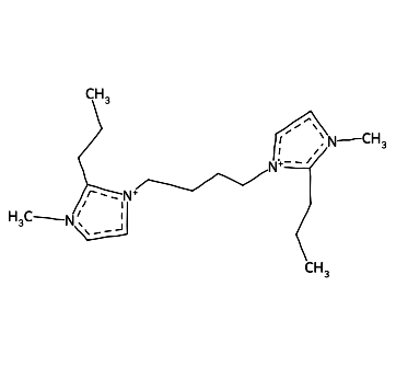 CCCc1n(C)cc[n+]1CCCC[n+]1ccn(C)c1CCC